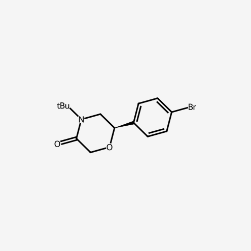 CC(C)(C)N1C[C@@H](c2ccc(Br)cc2)OCC1=O